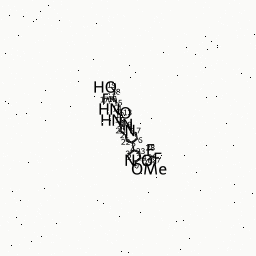 COc1ncc(-c2ccn3nc(NC(=O)NC[C@@H](F)CO)cc3c2)cc1OC(F)F